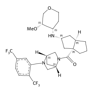 CO[C@@H]1COCC[C@@H]1N[C@@H]1C[C@H]2CCC[C@@]2(C(=O)N2C[C@@H]3C[C@H]2CN3c2cc(C(F)(F)F)ccc2C(F)(F)F)C1